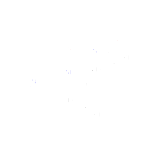 CN(C(=O)C(C)(C)C)C(CC(=O)CC(C)(C)C)C(=O)NCCN